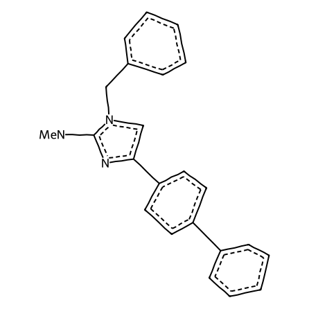 CNc1nc(-c2ccc(-c3ccccc3)cc2)cn1Cc1ccccc1